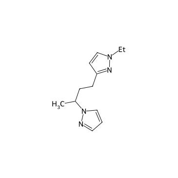 CCn1ccc(CCC(C)n2cccn2)n1